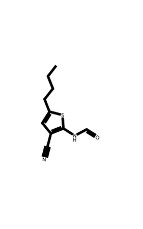 CCCCc1cc(C#N)c(NC=O)s1